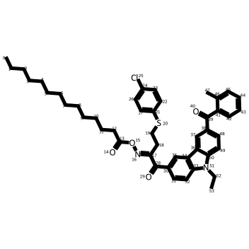 CCCCCCCCCCCCCC(=O)O/N=C(\CCSc1ccc(Cl)cc1)C(=O)c1ccc2c(c1)c1cc(C(=O)c3ccccc3C)ccc1n2CC